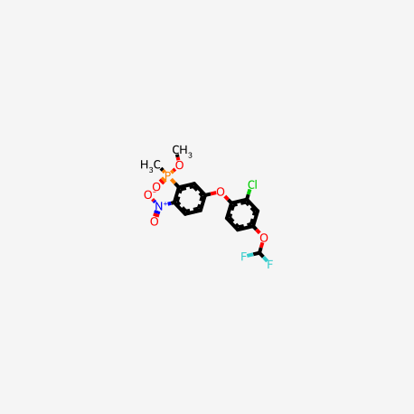 COP(C)(=O)c1cc(Oc2ccc(OC(F)F)cc2Cl)ccc1[N+](=O)[O-]